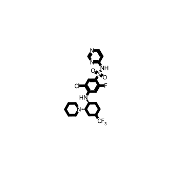 O=S(=O)(Nc1ccncn1)c1cc(Cl)c(N[C@H]2CCC(C(F)(F)F)C[C@@H]2N2CCCCC2)cc1F